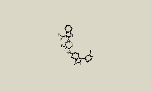 Cn1nc(-c2cccc(F)c2)c2ccc(NC3CCN(c4nc5ccccc5n4C(F)F)CC3(F)F)cc21